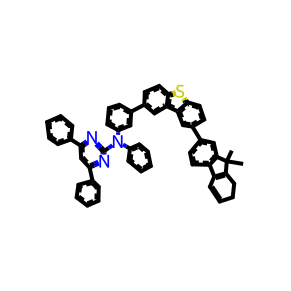 CC1(C)C2=C(C=CCC2)c2ccc(-c3ccc4sc5ccc(-c6cccc(N(c7ccccc7)c7nc(-c8ccccc8)cc(-c8ccccc8)n7)c6)cc5c4c3)cc21